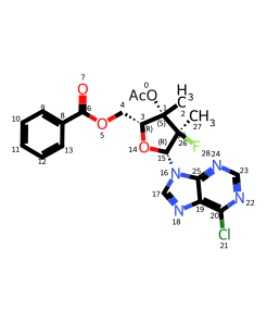 CC(=O)O[C@@]1(C)[C@@H](COC(=O)c2ccccc2)O[C@@H](n2cnc3c(Cl)ncnc32)[C@]1(C)F